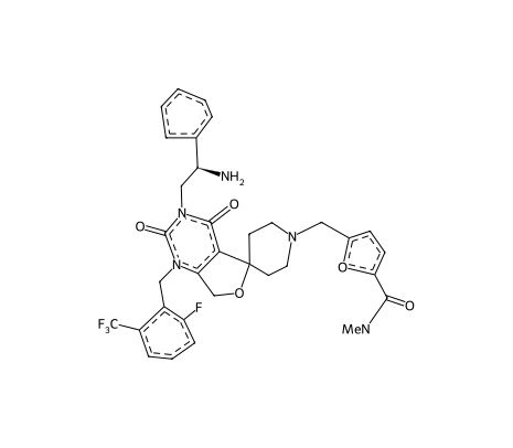 CNC(=O)c1ccc(CN2CCC3(CC2)OCc2c3c(=O)n(C[C@H](N)c3ccccc3)c(=O)n2Cc2c(F)cccc2C(F)(F)F)o1